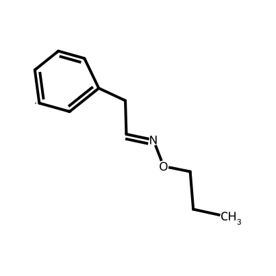 CCCON=CCc1c[c]ccc1